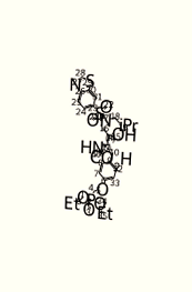 CCOP(=O)(COc1ccc(C[C@H](NC(=O)O)[C@H](O)CN(CC(C)C)S(=O)(=O)c2ccc3ncsc3c2)cc1)OCC